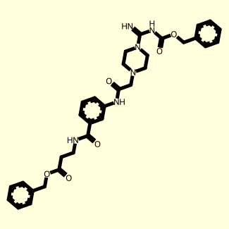 N=C(NC(=O)OCc1ccccc1)N1CCN(CC(=O)Nc2cccc(C(=O)NCCC(=O)OCc3ccccc3)c2)CC1